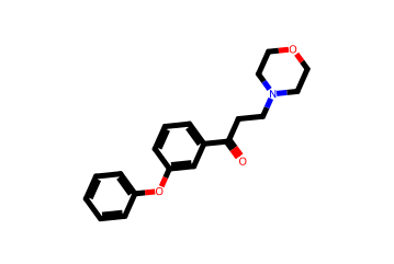 O=C(CCN1CCOCC1)c1cccc(Oc2ccccc2)c1